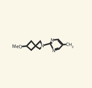 COC1CC2(C1)CN(c1ncc(C)cn1)C2